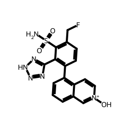 NS(=O)(=O)c1c(CF)ccc(-c2cccc3c[n+](O)ccc23)c1-c1nn[nH]n1